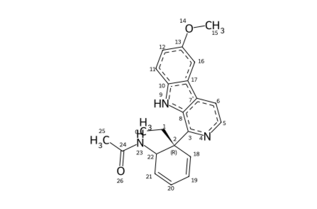 CC[C@@]1(c2nccc3c2[nH]c2ccc(OC)cc23)C=CC=CC1NC(C)=O